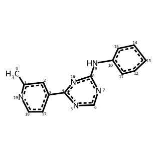 Cc1cc(-c2ncnc(Nc3ccccc3)n2)ccn1